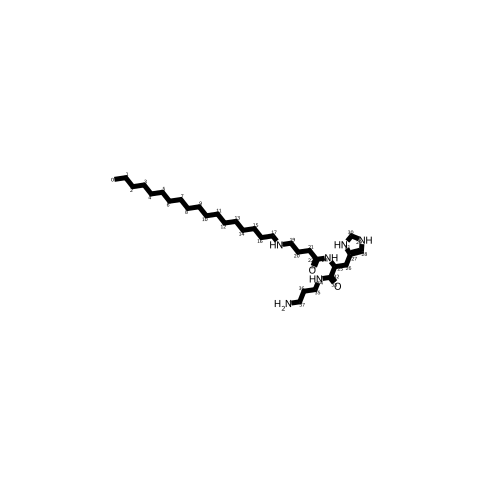 CCCCCCCCCCCCCCCCCCNCCCC(=O)NC(CC1=CNCN1)C(=O)NCCCN